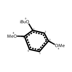 [CH2]C(C)COc1cc(OC)ccc1OC